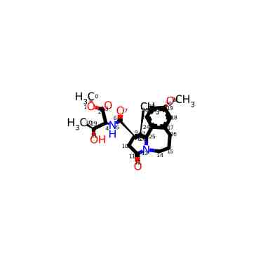 COC(=O)[C@@H](NC(=O)[C@H]1C2CC(=O)N3CCCc4cc(OC)ccc4C23C[C@@H]1C)[C@H](C)O